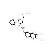 COCCN1C[C@@H](NC(=O)Nc2cnc3cc(OC)c(OC)cc3c2)[C@H](c2ccccc2)C1